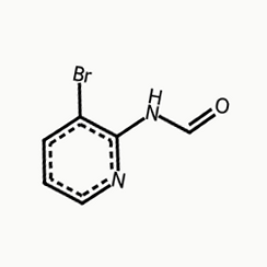 O=CNc1ncccc1Br